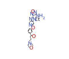 CCn1c(-c2nonc2N)nc2cnc(Oc3cccc(C(=O)CCCN4CCOCC4)c3)cc21